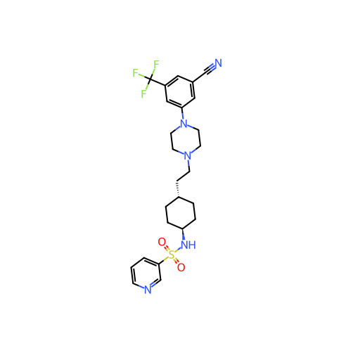 N#Cc1cc(N2CCN(CC[C@H]3CC[C@H](NS(=O)(=O)c4cccnc4)CC3)CC2)cc(C(F)(F)F)c1